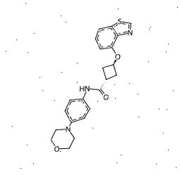 O=C(Nc1ccc(N2CCOCC2)cc1)[C@H]1C[C@H](Oc2cccc3scnc23)C1